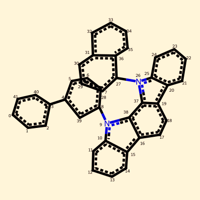 c1ccc(-c2cccc(-n3c4ccccc4c4ccc5c6ccccc6n(-c6cccc7ccccc67)c5c43)c2)cc1